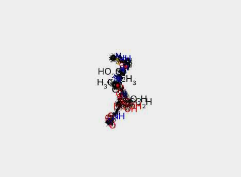 Cc1c(-c2ccc(N3CCc4cccc(C(=O)Nc5nc6ccccc6s5)c4C3)nc2C(=O)O)cnn1CC12CC3(C)CC(C)(C1)CC(OCCN(CCS(=O)(=O)O)C(=O)OCc1ccc(CCCCNC(=O)CN4C(=O)C=CC4=O)cc1O[C@@H]1O[C@H](C(=O)O)[C@@H](O)[C@H](O)[C@H]1O)(C3)C2